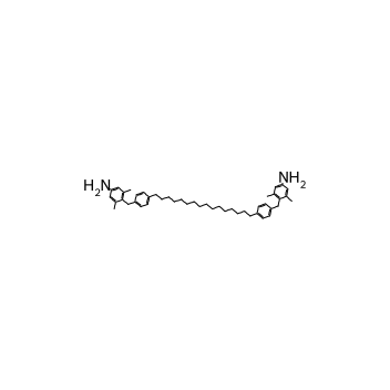 Cc1cc(N)cc(C)c1Cc1ccc(CCCCCCCCCCCCCCCCc2ccc(Cc3c(C)cc(N)cc3C)cc2)cc1